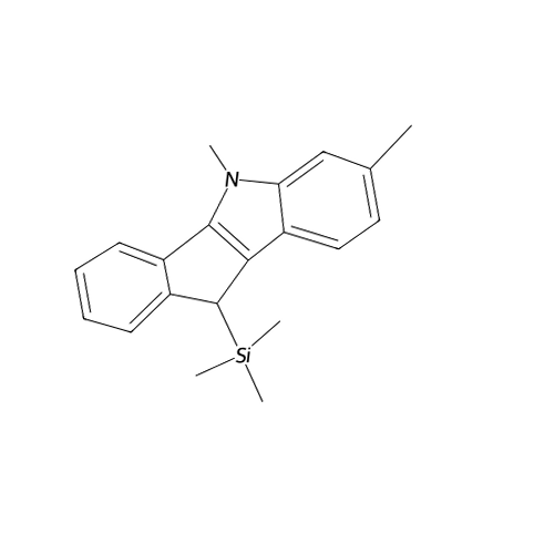 Cc1ccc2c3c(n(C)c2c1)-c1ccccc1C3[Si](C)(C)C